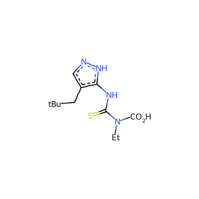 CCN(C(=O)O)C(=S)Nc1[nH]ncc1CC(C)(C)C